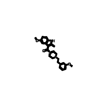 COc1cccc(CCN2CCN(C(=O)c3c(C)[nH]c4ccc(OC)cc34)CC2)c1